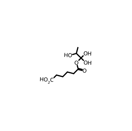 CC(O)C(O)(O)OC(=O)CCCCC(=O)O